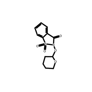 O=C1c2ccccc2S(=O)(=O)N1OC1CCCCO1